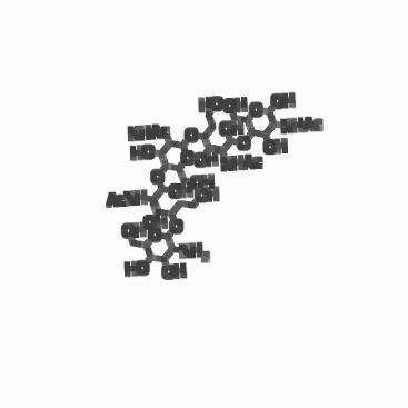 CC(=O)N/C(=C(\O)C(CCO)OC1OC(CO)C(O)C(O)C1N)C(O)OC1C(CO)OC(OC(CCO)/C(O)=C(/NC(C)=O)C(O)OC2C(CO)OC(O)C(NC(C)=O)C2O)C(NC(C)=O)C1O